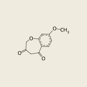 COc1ccc2c(c1)OCC(=O)CC2=O